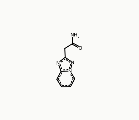 NC(=O)Cc1nc2ccccn2n1